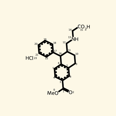 COC(=O)c1ccc2c(c1)CCC(CNCC(=O)O)C2c1ccccc1.Cl